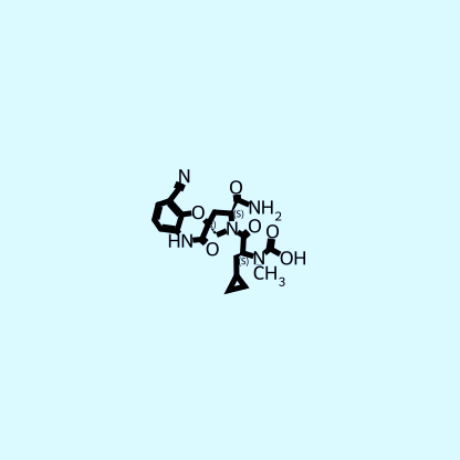 CN(C(=O)O)[C@@H](CC1CC1)C(=O)N1C[C@@]2(C[C@H]1C(N)=O)Oc1c(C#N)cccc1NC2=O